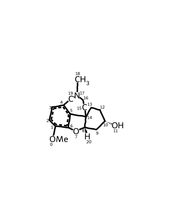 COc1ccc2c3c1O[C@H]1C[C@@H](O)CCC31CCN(C)C2